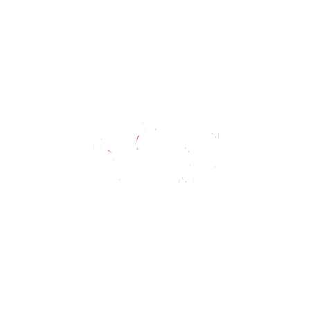 NCn1c(=O)[nH]cc([C@@H]2O[C@H](CO)[C@@H](O)[C@H]2O)c1=O